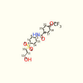 O=C(Nc1ccc(S(=O)(=O)C=CCO)cc1)c1ccc(OC(F)(F)F)cc1